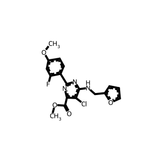 COC(=O)c1nc(-c2ccc(OC)cc2F)nc(NCc2ccco2)c1Cl